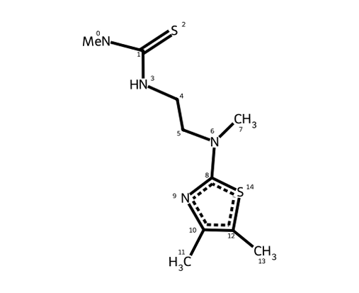 CNC(=S)NCCN(C)c1nc(C)c(C)s1